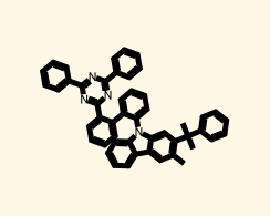 Cc1cc2c3ccccc3n(-c3ccccc3-c3ccccc3-c3nc(-c4ccccc4)nc(-c4ccccc4)n3)c2cc1C(C)(C)c1ccccc1